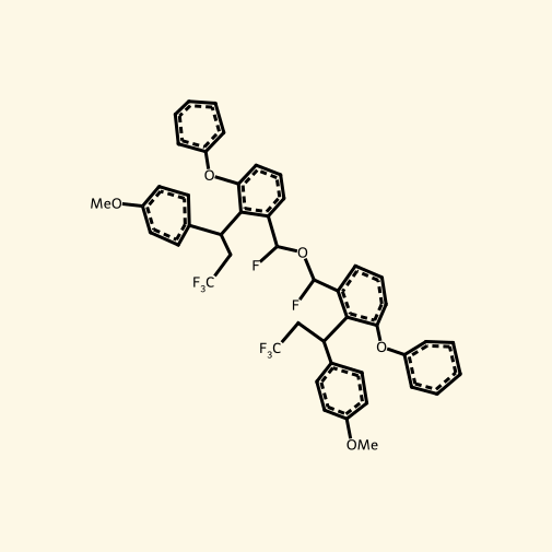 COc1ccc(C(CC(F)(F)F)c2c(Oc3ccccc3)cccc2C(F)OC(F)c2cccc(Oc3ccccc3)c2C(CC(F)(F)F)c2ccc(OC)cc2)cc1